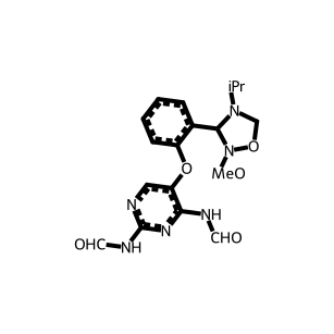 CON1OCN(C(C)C)C1c1ccccc1Oc1cnc(NC=O)nc1NC=O